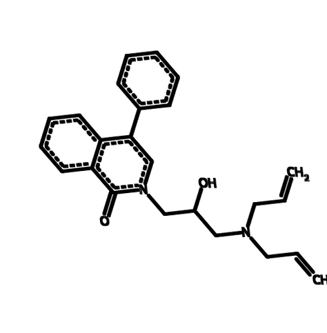 C=CCN(CC=C)CC(O)Cn1cc(-c2ccccc2)c2ccccc2c1=O